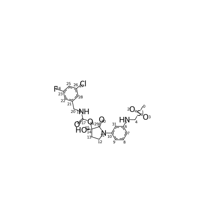 CS(=O)(=O)CNc1cccc(N2CC[C@](O)(OC(=O)NCc3cc(F)cc(Cl)c3)C2=O)c1